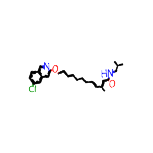 CC(C=CCCCCCCCOc1cc2cc(Cl)ccc2cn1)=CC(=O)NCC(C)C